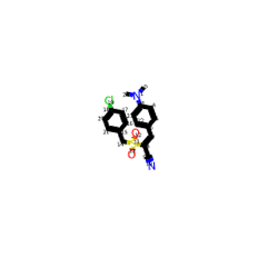 CN(C)c1ccc(C=C(C#N)S(=O)(=O)Cc2ccc(Cl)cc2)cc1